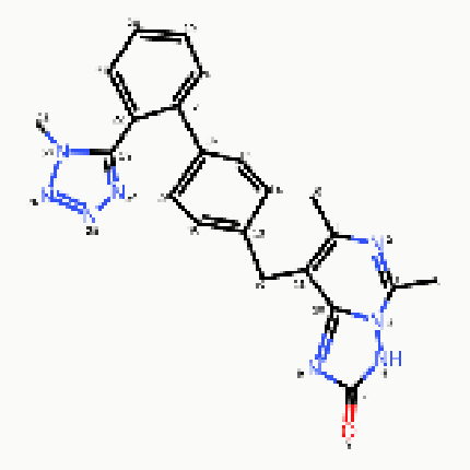 Cc1nc(C)n2[nH]c(=O)nc2c1Cc1ccc(-c2ccccc2-c2nnnn2C)cc1